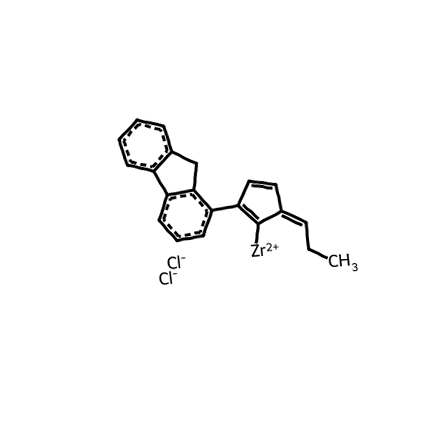 CCC=C1C=CC(c2cccc3c2Cc2ccccc2-3)=[C]1[Zr+2].[Cl-].[Cl-]